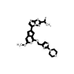 COc1cc2cc(-c3cnc4sc(C(C)F)nn34)cc-2c(OCc2csc(N3CCOCC3)n2)o1